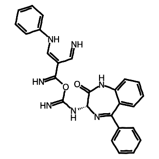 N=C/C(=C\Nc1ccccc1)C(=N)OC(=N)N[C@H]1N=C(c2ccccc2)c2ccccc2NC1=O